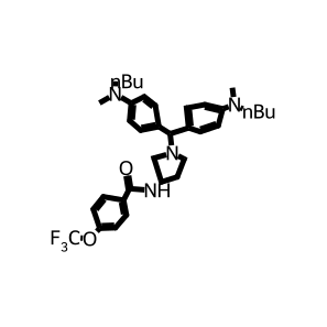 CCCCN(C)c1ccc(C(c2ccc(N(C)CCCC)cc2)N2CC[C@@H](NC(=O)c3ccc(OC(F)(F)F)cc3)C2)cc1